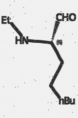 CCCCCC[C@@H](C=O)NCC